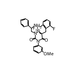 COc1cccc(-n2c(=O)c(Cc3c(F)cccc3C(F)(F)F)nn(CC(N)c3ccccc3)c2=O)c1